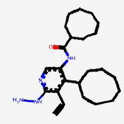 C=Cc1c(NN)ncc(NC(=O)C2CCCCCCC2)c1C1CCCCCCC1